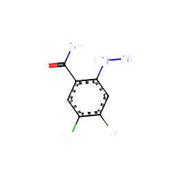 NNc1cc(Br)c(Cl)cc1C(N)=O